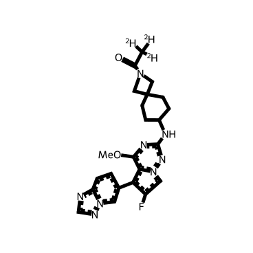 [2H]C([2H])([2H])C(=O)N1CC2(CCC(Nc3nc(OC)c4c(-c5ccc6ncnn6c5)c(F)cn4n3)CC2)C1